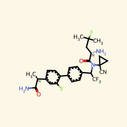 C[C@H](C(N)=O)c1ccc(-c2ccc(C(N(C(=O)[C@@H](N)CC(C)(C)F)C3(C#N)CC3)C(F)(F)F)cc2)c(F)c1